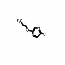 FC(F)(F)CCOc1cnc(Cl)cn1